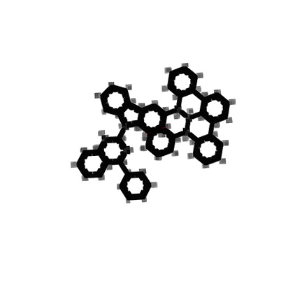 c1ccc(-c2nc(-n3c4ccccc4c4cc(N5B6c7c(cccc7-c7ccccc75)-c5ccccc5N6c5ccccc5)ccc43)nc3ccccc23)cc1